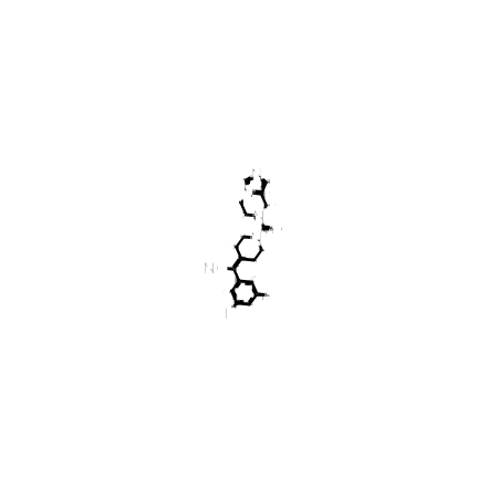 N#CC(=C1CCN(C(=O)N2CCn3cncc3C2)CC1)c1cc(F)cc(F)c1